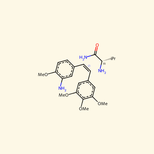 CC(C)[C@H](N)C(N)=O.COc1ccc(/C=C\c2cc(OC)c(OC)c(OC)c2)cc1N